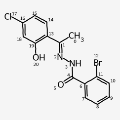 C/C(=N\NC(=O)c1ccccc1Br)c1ccc(Cl)cc1O